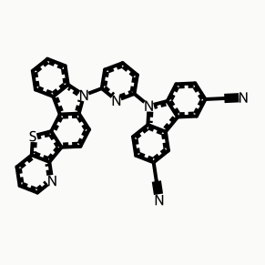 N#Cc1ccc2c(c1)c1cc(C#N)ccc1n2-c1cccc(-n2c3ccccc3c3c4sc5cccnc5c4ccc32)n1